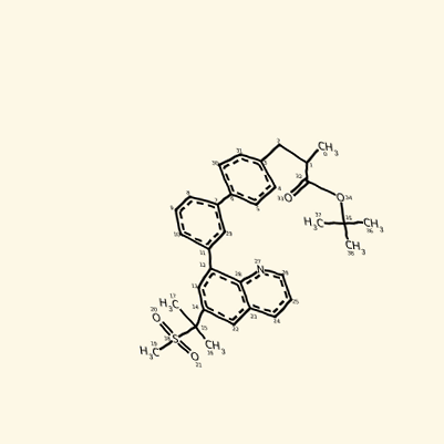 CC(Cc1ccc(-c2cccc(-c3cc(C(C)(C)S(C)(=O)=O)cc4cccnc34)c2)cc1)C(=O)OC(C)(C)C